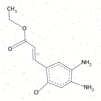 CCOC(=O)/C=C/c1cc(N)c(N)cc1Cl